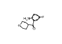 Nc1ccc(F)cc1C(=O)C1CC[N]CC1